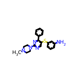 CN1CCN(c2ncc(Sc3cccc(N)c3)c(-c3ccccc3)n2)CC1